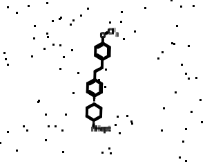 CCCCCCC[C@H]1CC[C@H](c2ccc(CCc3ccc(OC(F)(F)F)cc3)cc2)CC1